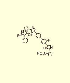 CCN(CC)[C@@H](C(=O)N1CCC[C@H]1c1ncc(-c2ccc(-c3ccc(-c4cnc([C@@H]5CCCN5C(=O)O)[nH]4)c(F)c3)cc2)[nH]1)C1=CCCC=C1